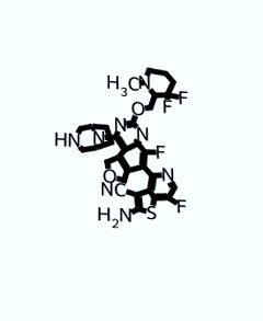 CN1CCCC(F)(F)C1COc1nc(N2C3CCC2CNC3)c2c3c(c(-c4ncc(F)c5sc(N)c(C#N)c45)c(F)c2n1)COC3